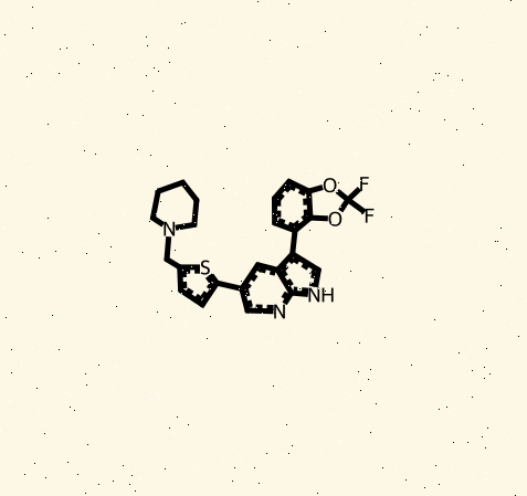 FC1(F)Oc2cccc(-c3c[nH]c4ncc(-c5ccc(CN6CCCCC6)s5)cc34)c2O1